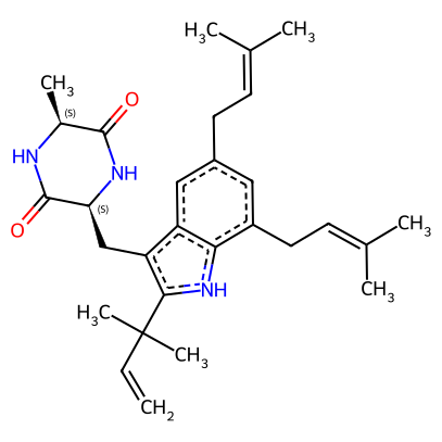 C=CC(C)(C)c1[nH]c2c(CC=C(C)C)cc(CC=C(C)C)cc2c1C[C@@H]1NC(=O)[C@H](C)NC1=O